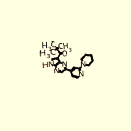 CC(C)(C)C(=O)c1c[nH]c2ncc(-c3ccnc(N4CCCCC4)c3)nc12